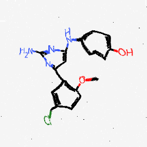 COc1ccc(Cl)cc1-c1cc(Nc2ccc(O)cc2)nc(N)n1